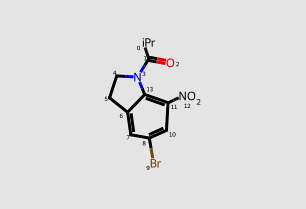 CC(C)C(=O)N1CCc2cc(Br)cc([N+](=O)[O-])c21